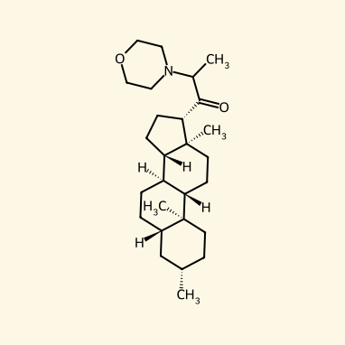 CC(C(=O)[C@H]1CC[C@H]2[C@@H]3CC[C@H]4C[C@@H](C)CC[C@]4(C)[C@H]3CC[C@]12C)N1CCOCC1